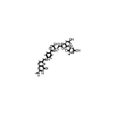 CNC(=O)[C@H](CC(=O)O)NC(=O)[C@H](CC(=O)O)NC(=O)CC[C@H](NC(=O)c1ccc(NCc2cnc3nc(NC)[nH]c(=O)c3n2)cc1)C(=O)O